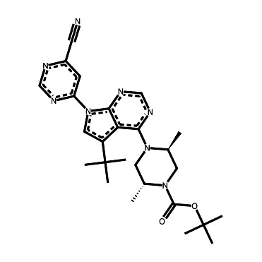 C[C@@H]1CN(c2ncnc3c2c(C(C)(C)C)cn3-c2cc(C#N)ncn2)[C@@H](C)CN1C(=O)OC(C)(C)C